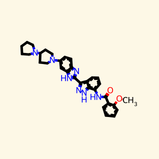 COc1ccccc1C(=O)Nc1cccc2c(-c3nc4ccc(N5CCC(N6CCCCC6)CC5)cc4[nH]3)n[nH]c12